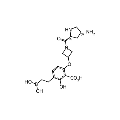 N[C@H]1CN[C@H](C(=O)N2CC(Oc3ccc(CCB(O)O)c(O)c3C(=O)O)C2)C1